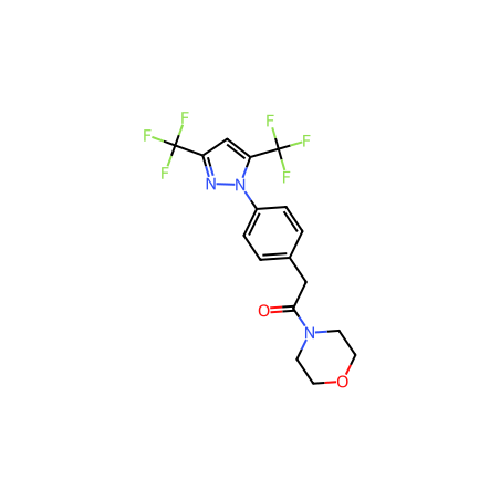 O=C(Cc1ccc(-n2nc(C(F)(F)F)cc2C(F)(F)F)cc1)N1CCOCC1